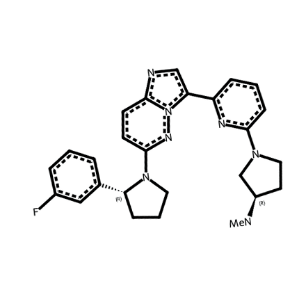 CN[C@@H]1CCN(c2cccc(-c3cnc4ccc(N5CCC[C@@H]5c5cccc(F)c5)nn34)n2)C1